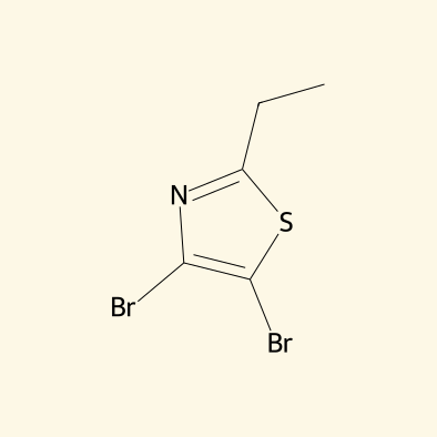 CCc1nc(Br)c(Br)s1